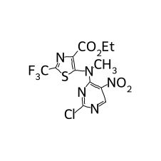 CCOC(=O)c1nc(C(F)(F)F)sc1N(C)c1nc(Cl)ncc1[N+](=O)[O-]